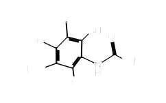 CC(=O)Nc1c(C)c(C)c(C)c(C)c1S